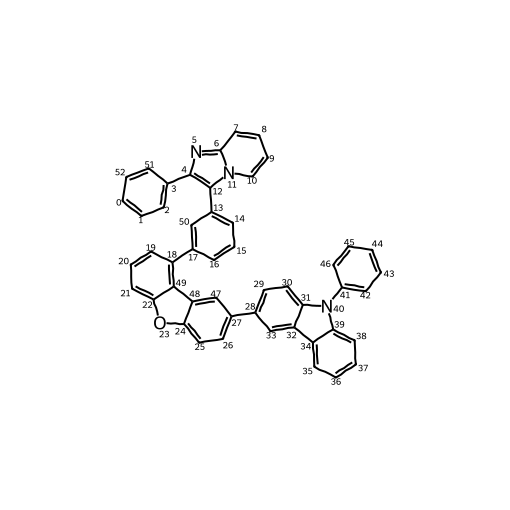 c1ccc(-c2nc3ccccn3c2-c2cccc(-c3cccc4oc5ccc(-c6ccc7c(c6)c6ccccc6n7-c6ccccc6)cc5c34)c2)cc1